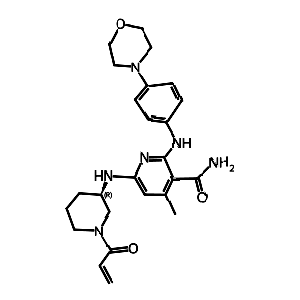 C=CC(=O)N1CCC[C@@H](Nc2cc(C)c(C(N)=O)c(Nc3ccc(N4CCOCC4)cc3)n2)C1